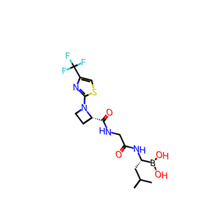 CC(C)C[C@H](NC(=O)CNC(=O)[C@@H]1CCN1c1nc(C(F)(F)F)cs1)B(O)O